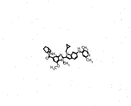 COc1cc(C(=O)N2CC3CCC2C3N)cc2nc(-c3cc4ccc(Nc5cc(C)ncc5C)cc4n3CC3CC3)n(C)c12